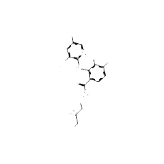 Cc1cc(Br)cnc1Nc1c(C(=O)NOC[C@H](O)CO)ccc(F)c1F